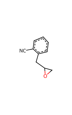 N#Cc1ccccc1CC1CO1